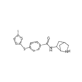 Cc1ccc(Sc2ccc(C(=O)NC3CC4CNC3C4)cc2)s1